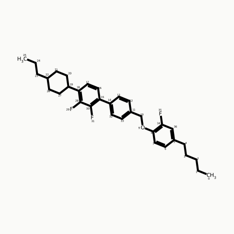 CCCCCc1ccc(OCc2ccc(-c3ccc(C4CCC(CCC)CC4)c(F)c3F)cc2)c(F)c1